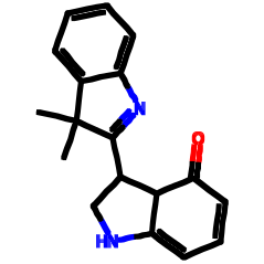 CC1(C)C(C2CNC3=CC=CC(=O)C32)=Nc2ccccc21